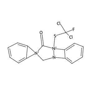 O=C1[N+]2(CN3c4ccccc4[N+]13SC(F)(Cl)Cl)c1ccccc12